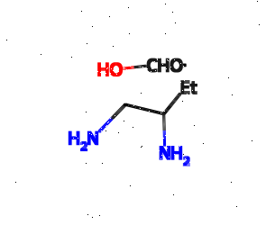 CCC(N)CN.O=[C]O